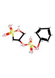 O=S1(=O)CC(OS(=O)(=O)Oc2ccccc2)CO1